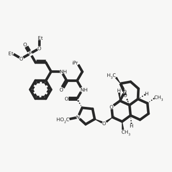 CCOP(=O)(/C=C/C(NC(=O)C(CC(C)C)NC(=O)[C@@H]1C[C@@H](O[C@H]2O[C@@H]3O[C@@]4(C)CC[C@H]5[C@H](C)CC[C@@H]([C@H]2C)[C@@]35OO4)CN1C(=O)O)c1ccccc1)OCC